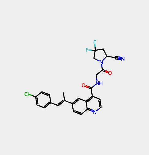 CC(=Cc1ccc(Cl)cc1)c1ccc2nccc(C(=O)NCC(=O)N3CC(F)(F)CC3C#N)c2c1